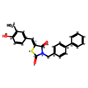 O=C(O)c1cc(/C=C2\SC(=O)N(Cc3ccc(-c4ccccc4)cc3)C2=O)ccc1O